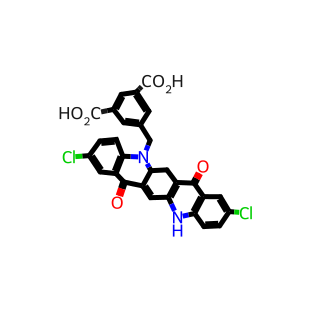 O=C(O)c1cc(CN2c3ccc(Cl)cc3C(=O)C3=Cc4[nH]c5ccc(Cl)cc5c(=O)c4CC32)cc(C(=O)O)c1